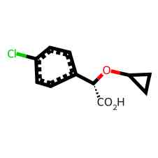 O=C(O)[C@@H](OC1CC1)c1ccc(Cl)cc1